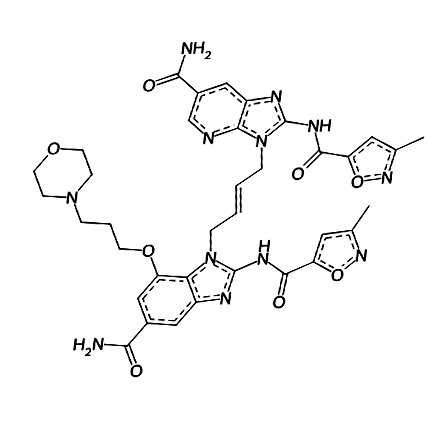 Cc1cc(C(=O)Nc2nc3cc(C(N)=O)cnc3n2C/C=C/Cn2c(NC(=O)c3cc(C)no3)nc3cc(C(N)=O)cc(OCCCN4CCOCC4)c32)on1